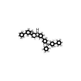 C1=CC2c3cc(-c4ccc(N(c5ccccc5)c5ccc(-c6ccccc6)cc5)cc4)ccc3NC2c2sc3ccc(-c4ccccc4)cc3c21